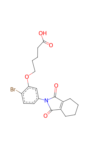 O=C(O)CCCCOc1cc(N2C(=O)C3=C(CCCC3)C2=O)ccc1Br